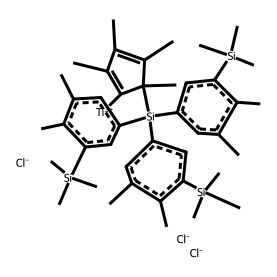 CC1=C(C)C(C)([Si](c2cc(C)c(C)c([Si](C)(C)C)c2)(c2cc(C)c(C)c([Si](C)(C)C)c2)c2cc(C)c(C)c([Si](C)(C)C)c2)[C]([Ti+3])=C1C.[Cl-].[Cl-].[Cl-]